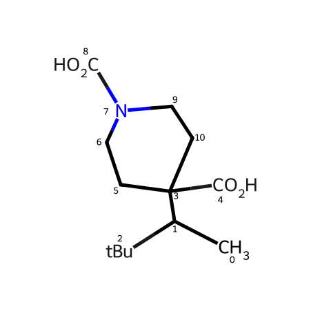 CC(C(C)(C)C)C1(C(=O)O)CCN(C(=O)O)CC1